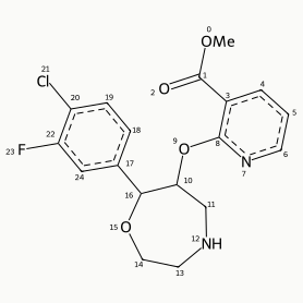 COC(=O)c1cccnc1OC1CNCCOC1c1ccc(Cl)c(F)c1